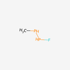 CPPF